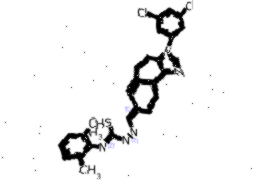 Cc1cccc(C)c1/N=C(S)/N=N\C=C1/C=CC2C(=C1)C=Cc1c2ncn1-c1cc(Cl)cc(Cl)c1